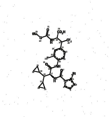 CCn1nccc1C(=O)N[C@H](C(=O)Nc1ccc(C(C(NC(=O)OC(C)(C)C)C(=O)O)C(F)(F)F)cc1F)C(C1CC1)C1CC1